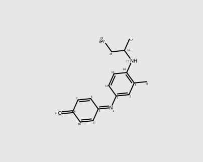 Cc1cc(N=C2C=CC(=O)C=C2)ccc1NC(C)CC(C)C